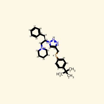 CC(C)(C)c1ccc(SCc2cn([C@H](Cc3ccccc3)CN3CCCCC3)nn2)cc1